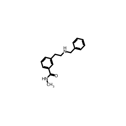 CNC(=O)c1cccc(CCNCc2ccccc2)c1